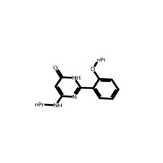 CCCNc1cc(=O)[nH]c(-c2ccccc2OCCC)n1